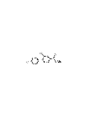 COC(=O)c1ccc(-c2ccc(O)cc2)c(Cl)c1